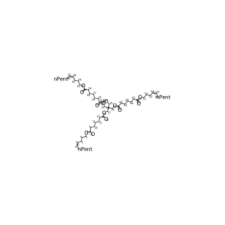 CCCCC/C=C\CCCOC(=O)CCCCCC(=O)OCC(CO)(COC(=O)CCCCCC(=O)OCCC/C=C\CCCCC)COC(=O)CCCCCC(=O)OCCC/C=C\CCCCC